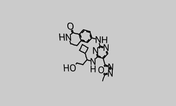 Cc1nnc(-c2cnc(Nc3ccc4c(c3)CCNC4=O)nc2NC(CCO)C2CCC2)o1